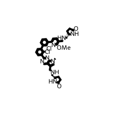 COc1nc(-c2cccc(-c3cccc(-c4ncc5c(CNC[C@H]6CCC(=O)N6)cn(C)c5n4)c3Cl)c2Cl)ccc1CNC[C@@H]1CCC(=O)N1